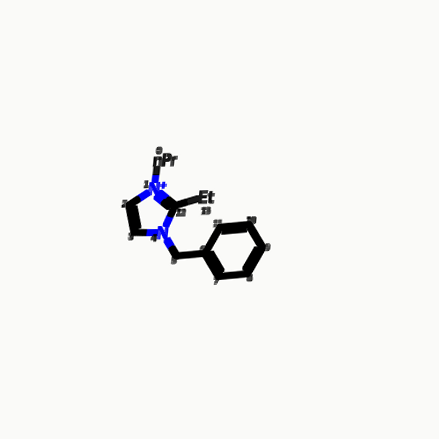 CCC[n+]1ccn(Cc2ccccc2)c1CC